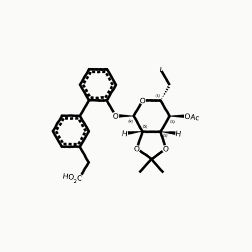 CC(=O)O[C@H]1[C@@H]2OC(C)(C)O[C@@H]2[C@@H](Oc2ccccc2-c2cccc(CC(=O)O)c2)O[C@@H]1CI